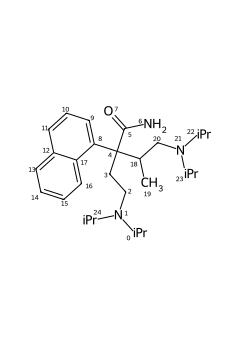 CC(C)N(CCC(C(N)=O)(c1cccc2ccccc12)C(C)CN(C(C)C)C(C)C)C(C)C